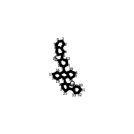 c1ccc2cc3c(cc2c1)sc1cc(-c2c4ccccc4c(-c4cccc5c4oc4ccccc45)c4ccccc24)ccc13